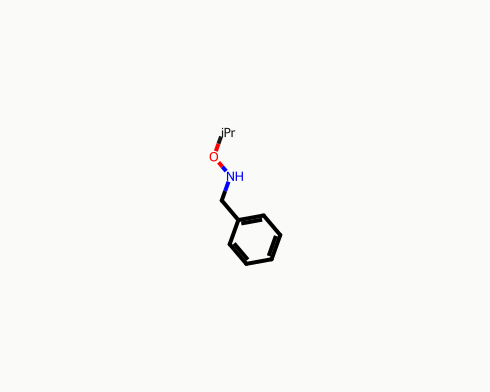 CC(C)ONCc1ccccc1